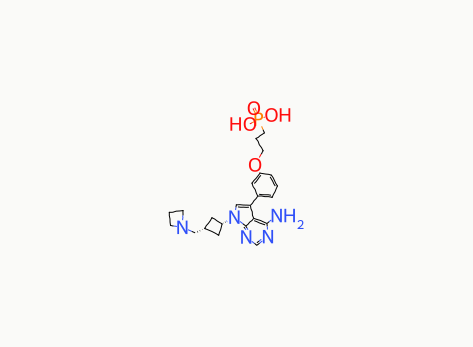 Nc1ncnc2c1c(-c1cccc(OCCCP(=O)(O)O)c1)cn2[C@H]1C[C@@H](CN2CCC2)C1